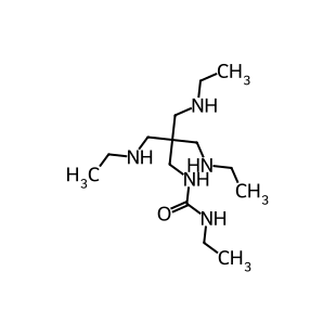 CCNCC(CNCC)(CNCC)CNC(=O)NCC